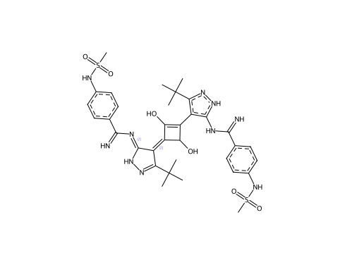 CC(C)(C)C1=NNC(=N\C(=N)c2ccc(NS(C)(=O)=O)cc2)/C1=C1\C(O)=C(c2c(C(C)(C)C)n[nH]c2NC(=N)c2ccc(NS(C)(=O)=O)cc2)C1O